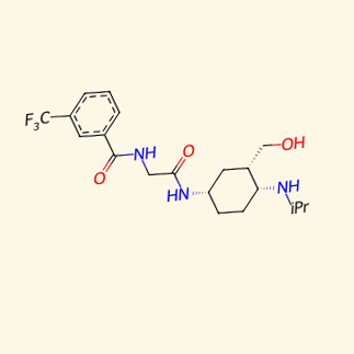 CC(C)N[C@@H]1CC[C@H](NC(=O)CNC(=O)c2cccc(C(F)(F)F)c2)C[C@@H]1CO